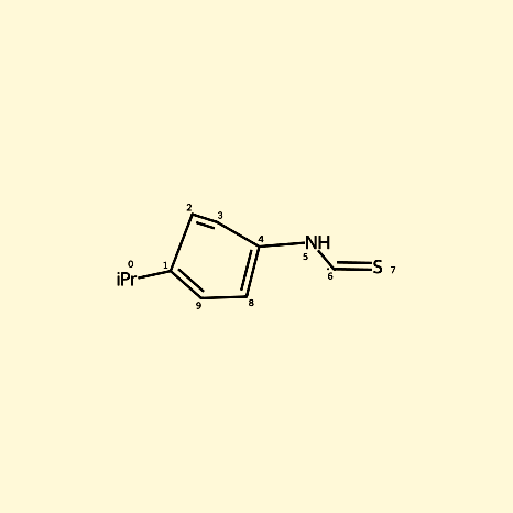 CC(C)c1ccc(N[C]=S)cc1